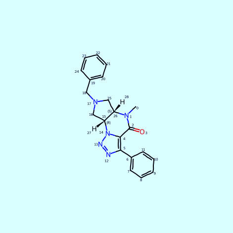 CN1C(=O)c2c(-c3ccccc3)nnn2[C@@H]2CN(Cc3ccccc3)C[C@@H]21